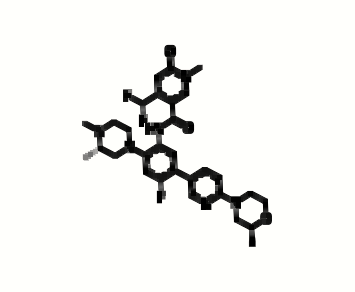 C[C@H]1CN(c2ccc(-c3cc(NC(=O)c4cn(C)c(=O)cc4C(F)F)c(N4CCN(C)[C@@H](C)C4)cc3F)cn2)CCO1